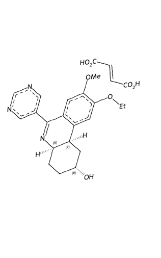 CCOc1cc2c(cc1OC)C(c1cncnc1)=N[C@@H]1CC[C@@H](O)C[C@H]21.O=C(O)C=CC(=O)O